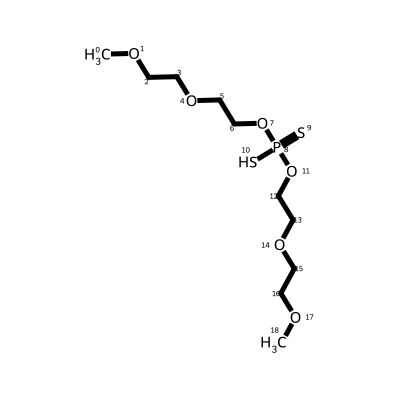 COCCOCCOP(=S)(S)OCCOCCOC